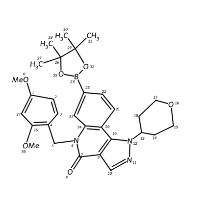 COc1ccc(Cn2c(=O)c3cnn(C4CCOCC4)c3c3ccc(B4OC(C)(C)C(C)(C)O4)cc32)c(OC)c1